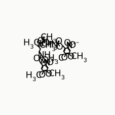 COc1cc(COC(=O)NCCC[Si](C)(C)O[Si](C)(C)CCCNC(=O)OCc2cc(OC)c(OC)cc2[N+](=O)[O-])c([N+](=O)[O-])cc1OC